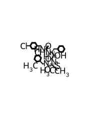 Cc1ccccc1CNC(=O)[C@H]1N(C(=O)[C@@H](O)[C@H](Cc2ccccc2)NC(=O)NCc2ccc(Cl)cc2Cl)CSC1(C)C